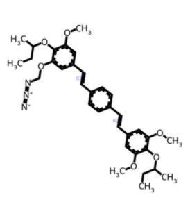 CCC(C)Oc1c(OC)cc(/C=C/c2ccc(/C=C/c3cc(OC)c(OC(C)CC)c(OCN=[N+]=[N-])c3)cc2)cc1OC